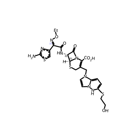 CCO/N=C(\C(=O)N[C@@H]1C(=O)N2C(C(=O)O)=C(CN3C=CN4NC(SCCO)=CC=C34)CS[C@@H]12)c1csc(N)n1